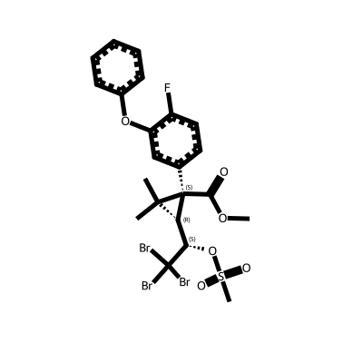 COC(=O)[C@@]1(c2ccc(F)c(Oc3ccccc3)c2)[C@H]([C@H](OS(C)(=O)=O)C(Br)(Br)Br)C1(C)C